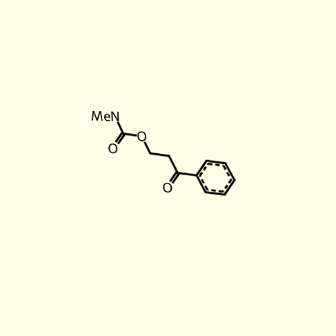 CNC(=O)OCCC(=O)c1ccccc1